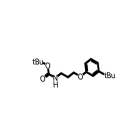 CC(C)(C)OC(=O)NCCCOc1cccc(C(C)(C)C)c1